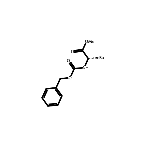 CCCC[C@H](NC(=O)OCc1ccccc1)C(=O)OC